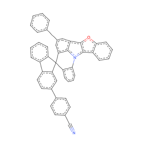 N#Cc1ccc(-c2ccc3c(c2)C2(c4ccccc4-3)c3ccccc3-n3c4c2cc(-c2ccccc2)cc4c2oc4ccccc4c23)cc1